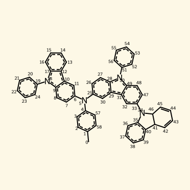 Cc1ccc(N(c2ccc3c(c2)c2ccccc2n3-c2ccccc2)c2ccc3c(c2)c2cc(N4c5ccccc5C5C=CC=CC54)ccc2n3-c2ccccc2)cc1